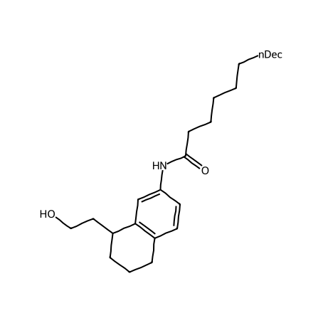 CCCCCCCCCCCCCCCC(=O)Nc1ccc2c(c1)C(CCO)CCC2